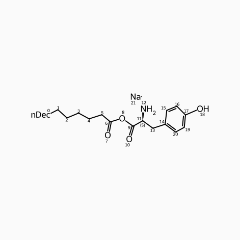 CCCCCCCCCCCCCCCC(=O)OC(=O)[C@@H](N)Cc1ccc(O)cc1.[Na]